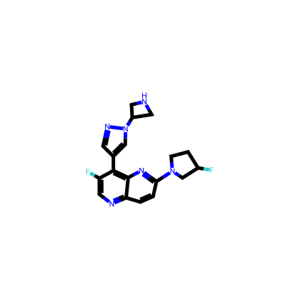 Fc1cnc2ccc(N3CCC(F)C3)nc2c1-c1cnn(C2CNC2)c1